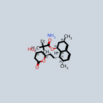 CCC(C)(C)C(=O)O[C@H]1C[C@@H](C)C=C2C=C[C@H](C)[C@H](CC[C@@H]3C[C@@H](O)CC(=O)O3)[C@H]21.N